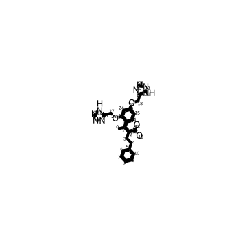 Cc1c(CCc2ccccc2)c(=O)oc2cc(OCc3nnn[nH]3)cc(OCc3nnn[nH]3)c12